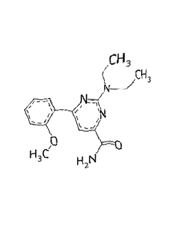 CCN(CC)c1nc(C(N)=O)cc(-c2ccccc2OC)n1